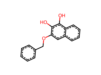 Oc1c(OCc2ccccc2)cc2ccccc2c1O